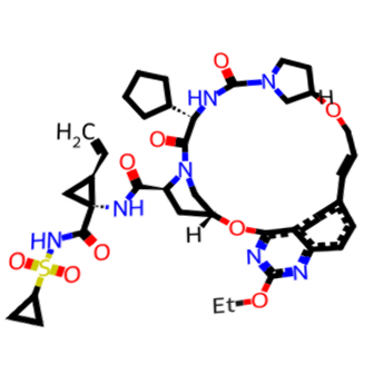 C=C[C@@H]1C[C@]1(NC(=O)[C@@H]1C[C@@H]2CN1C(=O)[C@H](C1CCCC1)NC(=O)N1CC[C@H](C1)OC/C=C/c1ccc3nc(OCC)nc(c3c1)O2)C(=O)NS(=O)(=O)C1CC1